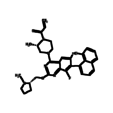 C=CC(=O)N1CCN(c2nc(OC[C@@H]3CCCN3C)nc3c(F)c(-c4cccc5cccc(Cl)c45)c(F)cc23)C[C@@H]1C